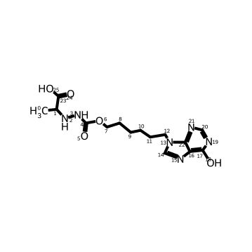 CC(NNC(=O)OCCCCCCn1cnc2c(O)ncnc21)C(=O)O